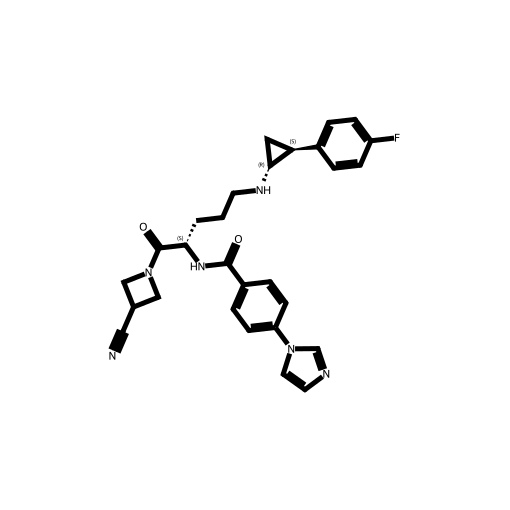 N#CC1CN(C(=O)[C@H](CCCN[C@@H]2C[C@H]2c2ccc(F)cc2)NC(=O)c2ccc(-n3ccnc3)cc2)C1